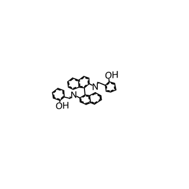 Oc1ccccc1C=Nc1ccc2ccccc2c1-c1c(N=Cc2ccccc2O)ccc2ccccc12